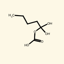 CCCCC(O)(O)OC(=O)O